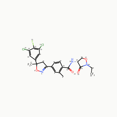 Cc1cc(C2=NOC(c3cc(Cl)c(F)c(Cl)c3)(C(F)(F)F)C2)ccc1C(=O)N[C@@H]1CON(CC(F)(F)F)C1=O